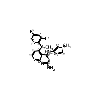 C[C@H](c1ncc(F)cc1F)c1ccnc2nc(N)nc(Nc3cn(C)cn3)c12